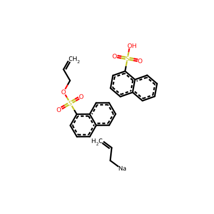 C=CCOS(=O)(=O)c1cccc2ccccc12.C=C[CH2][Na].O=S(=O)(O)c1cccc2ccccc12